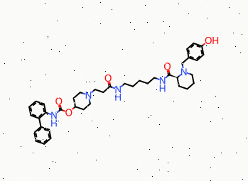 O=C(CCN1CCC(OC(=O)Nc2ccccc2-c2ccccc2)CC1)NCCCCCNC(=O)[C@@H]1CCCCN1Cc1ccc(O)cc1